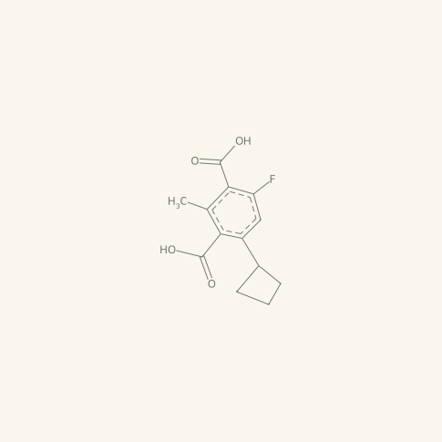 Cc1c(C(=O)O)c(F)cc(C2CCC2)c1C(=O)O